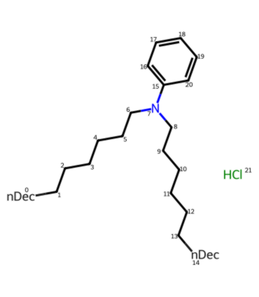 CCCCCCCCCCCCCCCCN(CCCCCCCCCCCCCCCC)c1ccccc1.Cl